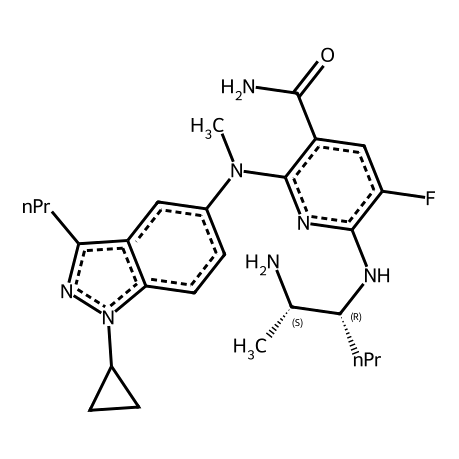 CCCc1nn(C2CC2)c2ccc(N(C)c3nc(N[C@H](CCC)[C@H](C)N)c(F)cc3C(N)=O)cc12